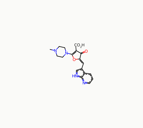 CN1CCN(C2=C(C(=O)O)C(=O)C(=Cc3c[nH]c4ncccc34)O2)CC1